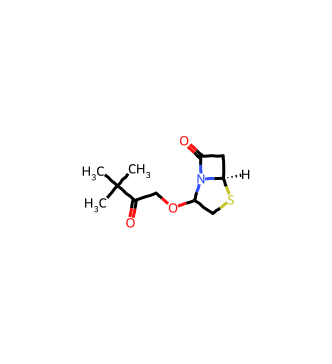 CC(C)(C)C(=O)COC1CS[C@@H]2CC(=O)N12